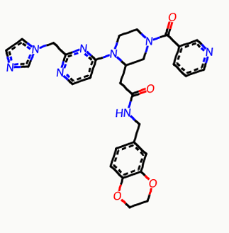 O=C(CC1CN(C(=O)c2cccnc2)CCN1c1ccnc(Cn2ccnc2)n1)NCc1ccc2c(c1)OCCO2